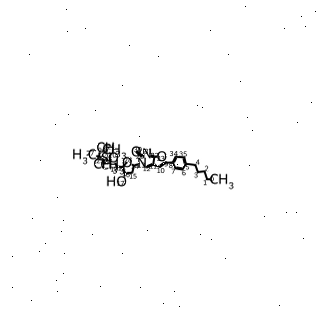 CCCCCc1ccc(-c2cc3cn(C4CC(O)C(CO[Si](C)(C)C(C)(C)C)O4)c(=O)nc3o2)cc1